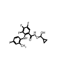 Cc1cc(I)ccc1Nc1c(C(=O)NOC(O)C2CC2)cc(F)c(F)c1F